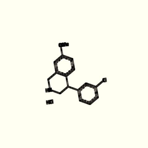 COc1ccc2c(c1)CNCC2c1cccc(Cl)c1.Cl